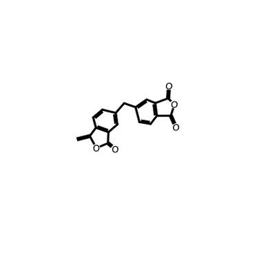 C=C1OC(=O)c2cc(Cc3ccc4c(c3)C(=O)OC4=O)ccc21